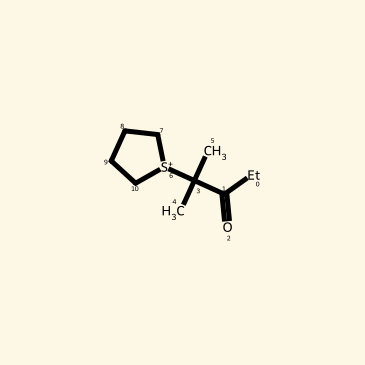 CCC(=O)C(C)(C)[S+]1CCCC1